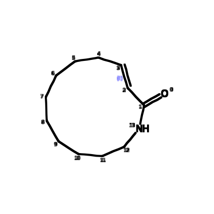 O=C1/C=C/CCCCCCCCCN1